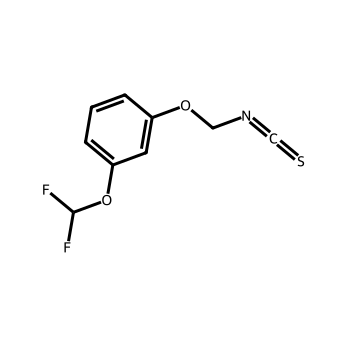 FC(F)Oc1cccc(OCN=C=S)c1